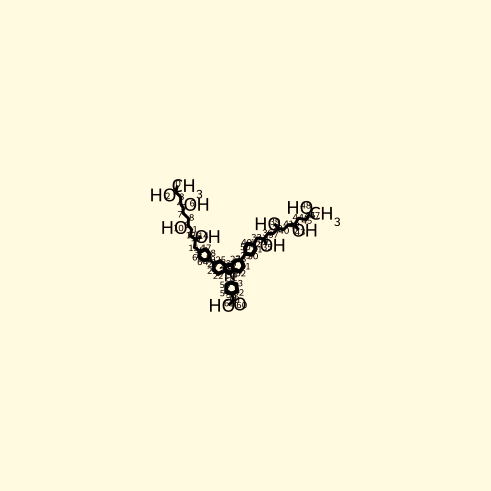 CC(O)CCC(O)CCC(O)CCC(O)Cc1ccc(-c2ccc3c(c2)c2cc(-c4ccc(CC(O)CCC(O)CCC(O)CCC(C)O)cc4)ccc2n3-c2ccc(C(=O)O)cc2)cc1